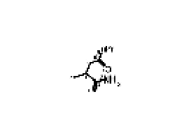 C=C(N)C(C)CC(=O)CCC